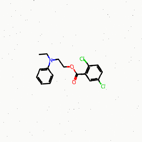 CCN(CCOC(=O)c1cc(Cl)ccc1Cl)c1ccccc1